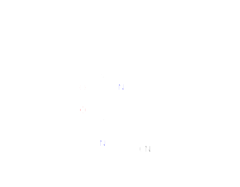 N#C[C@@H]1CCCN1C(=O)C1CCCCN1C(=O)c1ccccc1